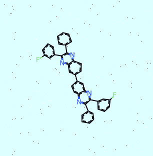 Fc1cccc(-c2nc3cc(-c4ccc5nc(-c6ccccc6)c(-c6cccc(F)c6)nc5c4)ccc3nc2-c2ccccc2)c1